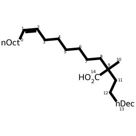 CCCCCCCC/C=C\CCCCCCC(C)(CCCCCCCCCCCC)C(=O)O